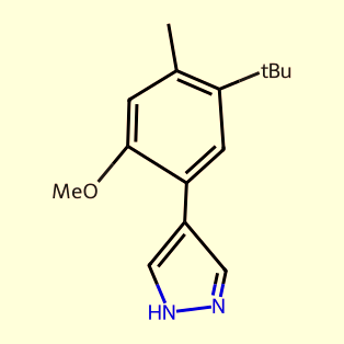 COc1cc(C)c(C(C)(C)C)cc1-c1cn[nH]c1